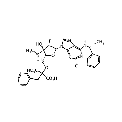 C=C(C)[C@@]1(O)[C@@H](COC(Cc2ccccc2)(C(=O)O)C(=O)O)O[C@@H](n2cnc3c(N[C@H](C)c4ccccc4)nc(Cl)nc32)[C@@H]1O